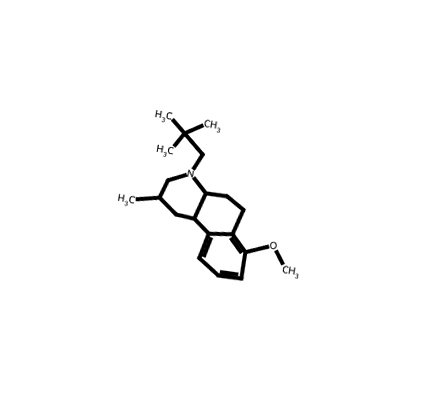 COc1cccc2c1CCC1C2CC(C)CN1CC(C)(C)C